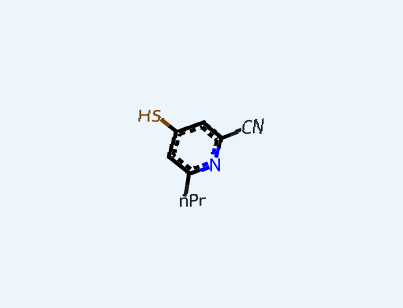 CCCc1cc(S)cc(C#N)n1